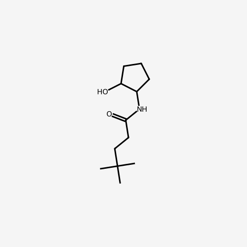 CC(C)(C)CCC(=O)NC1CCCC1O